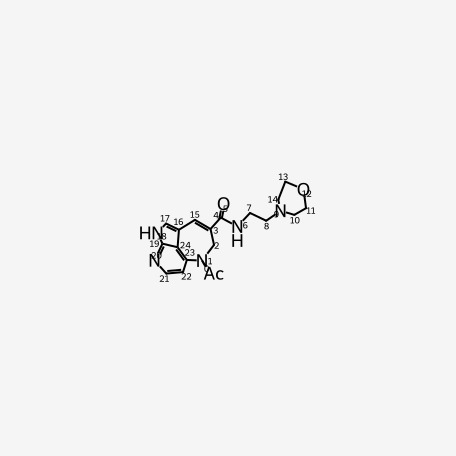 CC(=O)N1CC(C(=O)NCCN2CCOCC2)=Cc2c[nH]c3nccc1c23